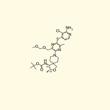 COCOCc1nc(Sc2ccnc(N)c2Cl)c(C)nc1N1CCC2(CC1)CO[C@@H](C)[C@H]2NC(=O)OC(C)(C)C